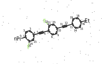 CCCc1ccc(C#Cc2ccc(C#Cc3ccc(CC)cc3)cc2F)cc1F